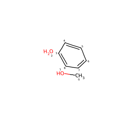 CO.O.c1ccccc1